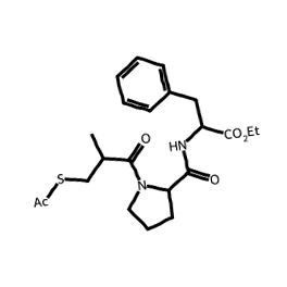 CCOC(=O)C(Cc1ccccc1)NC(=O)C1CCCN1C(=O)C(C)CSC(C)=O